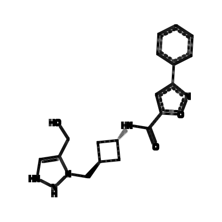 O=C(N[C@H]1C[C@H](CN2NNC=C2CO)C1)c1cc(-c2ccccc2)no1